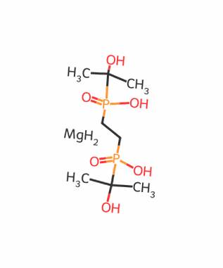 CC(C)(O)P(=O)(O)CCP(=O)(O)C(C)(C)O.[MgH2]